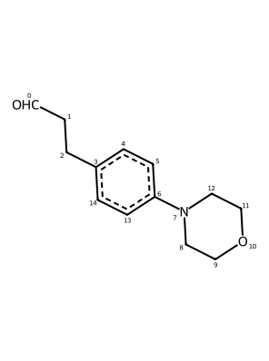 O=CCCc1ccc(N2CCOCC2)cc1